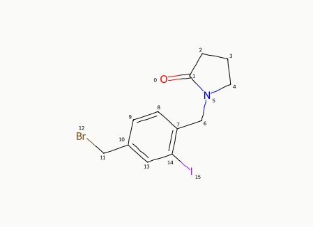 O=C1CCCN1Cc1ccc(CBr)cc1I